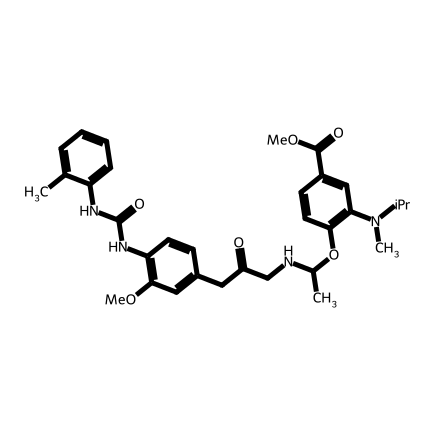 COC(=O)c1ccc(OC(C)NCC(=O)Cc2ccc(NC(=O)Nc3ccccc3C)c(OC)c2)c(N(C)C(C)C)c1